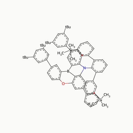 CC(C)(C)c1cc(-c2ccc3c(c2)B2c4cc(-c5cc(C(C)(C)C)cc(C(C)(C)C)c5)ccc4N(c4c(-c5cccc([Si](C)(C)C)c5)cccc4-c4cccc([Si](C)(C)C)c4)c4cc(-c5ccccc5)cc(c42)O3)cc(C(C)(C)C)c1